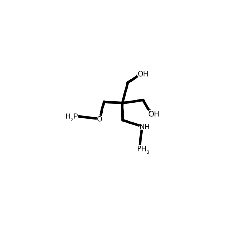 OCC(CO)(CNP)COP